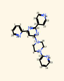 c1ccc(-c2cc(N3CCN(c4ccccn4)CC3)nc(-c3ccncc3)n2)nc1